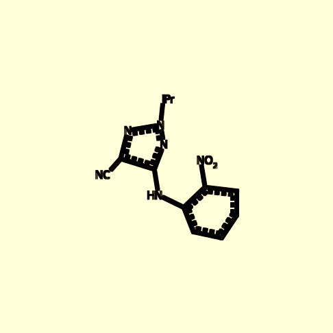 CC(C)n1nc(C#N)c(Nc2ccccc2[N+](=O)[O-])n1